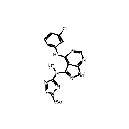 CN(c1nnn(C(C)(C)C)n1)c1n[nH]c2ncnc(Nc3cccc(Cl)c3)c12